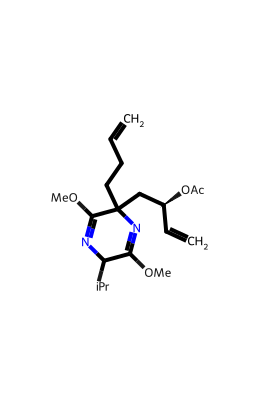 C=CCCC1(C[C@H](C=C)OC(C)=O)N=C(OC)C(C(C)C)N=C1OC